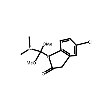 COC(OC)(N(C)C)N1C(=O)Cc2cc(Cl)ccc21